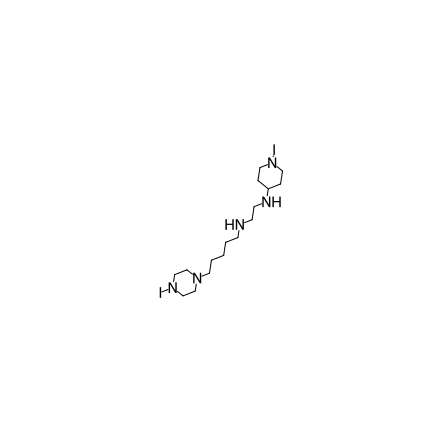 IN1CCC(NCCNCCCCCN2CCN(I)CC2)CC1